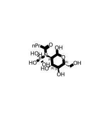 CCCC(=O)N([C@H]1C(O)O[C@H](CO)[C@@H](O)[C@@H]1O)[PH](O)(O)O